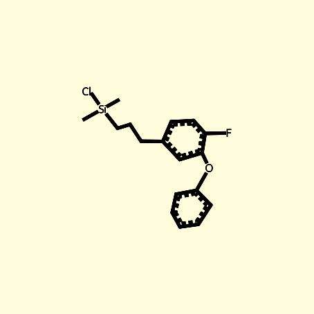 C[Si](C)(Cl)CCCc1ccc(F)c(Oc2ccccc2)c1